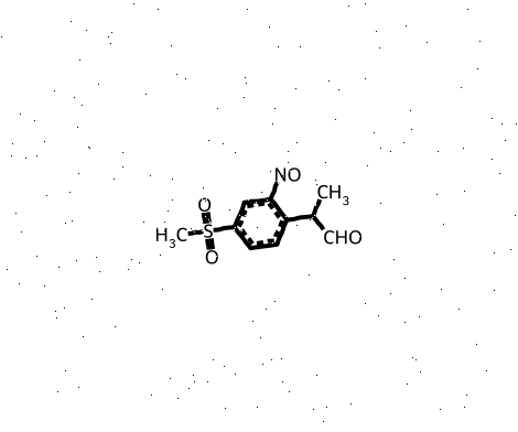 CC(C=O)c1ccc(S(C)(=O)=O)cc1N=O